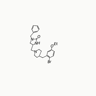 CCOc1ccc(Br)c(CC2CCN(CC3CN(Cc4ccccc4)C(=O)N3)CC2)c1